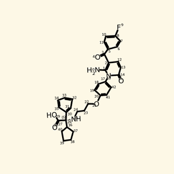 Nc1c(C(=O)c2ccc(F)cc2)ccc(=O)n1-c1ccc(OCCCN[C@](C(=O)O)(c2ccccc2)C2CCCC2)cc1